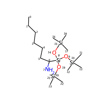 CCCCCCC(N)[Si](O[Si](C)(C)C)(O[Si](C)(C)C)O[Si](C)(C)C